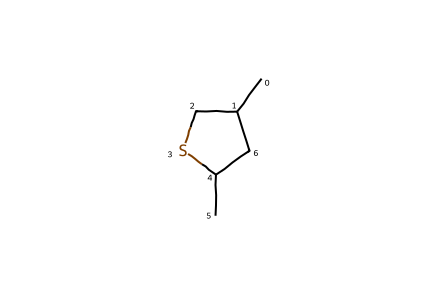 CC1CSC(C)C1